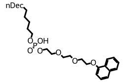 CCCCCCCCCCCCCCCOP(=O)(O)OCCOCCOCCOc1cccc2ccccc12